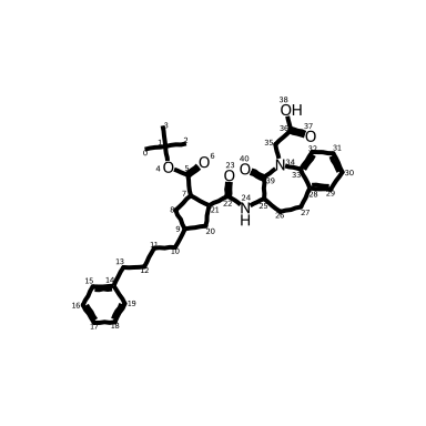 CC(C)(C)OC(=O)C1CC(CCCCc2ccccc2)CC1C(=O)NC1CCc2ccccc2N(CC(=O)O)C1=O